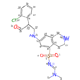 CN(C)/C=N/S(=O)(=O)c1cc(NCC(C=O)c2ccccc2Cl)cc2c1CCNC2